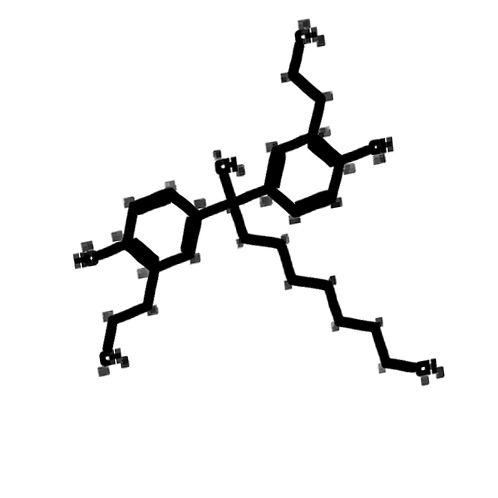 CCCCCCCCC(C)(c1ccc(O)c(CCC)c1)c1ccc(O)c(CCC)c1